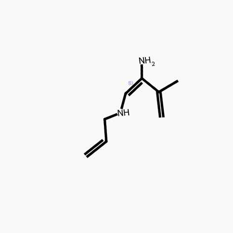 C=CCN/C=C(/N)C(=C)C